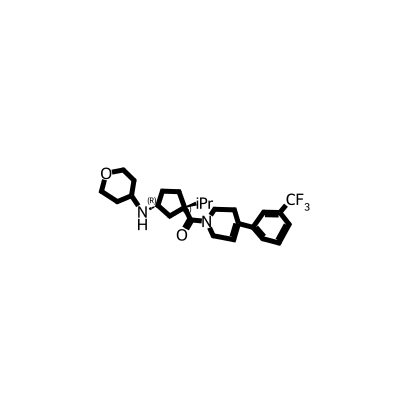 CC(C)[C@]1(C(=O)N2CC=C(c3cccc(C(F)(F)F)c3)CC2)CC[C@@H](NC2CCOCC2)C1